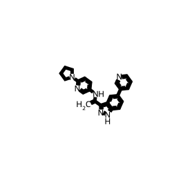 C=C(Nc1ccc(N2CCCC2)nc1)c1n[nH]c2ccc(-c3cccnc3)cc12